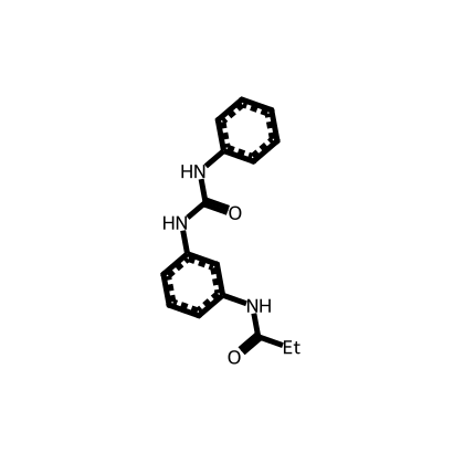 CCC(=O)Nc1cccc(NC(=O)Nc2ccccc2)c1